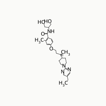 CCc1cnc(N2CCC([C@H](C)CCOc3ccc(C(=O)NC(CO)CO)c(C)c3)CC2)nc1